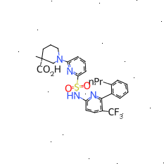 CCCc1ccccc1-c1nc(NS(=O)(=O)c2cccc(N3CCCC(C)(C(=O)O)C3)n2)ccc1C(F)(F)F